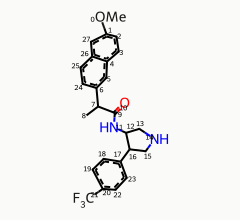 COc1ccc2cc(C(C)C(=O)NC3CNCC3c3ccc(C(F)(F)F)cc3)ccc2c1